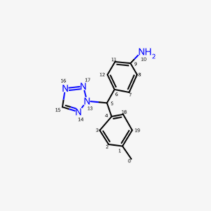 Cc1ccc(C(c2ccc(N)cc2)n2ncnn2)cc1